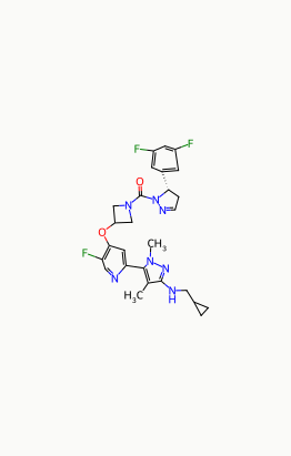 Cc1c(NCC2CC2)nn(C)c1-c1cc(OC2CN(C(=O)N3N=CC[C@H]3c3cc(F)cc(F)c3)C2)c(F)cn1